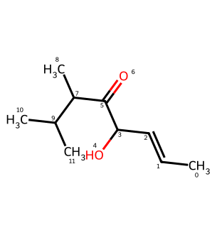 CC=CC(O)C(=O)C(C)C(C)C